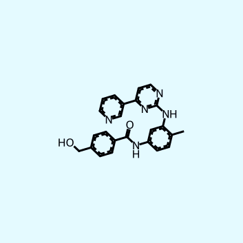 Cc1ccc(NC(=O)c2ccc(CO)cc2)cc1Nc1nccc(-c2cccnc2)n1